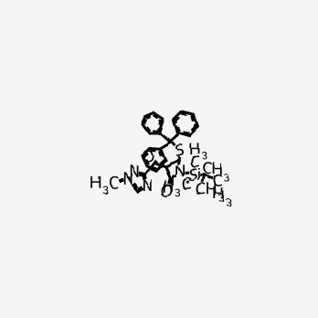 Cn1cnc(C(=O)C2C(=O)N([Si](C)(C)C(C)(C)C)C2SC(c2ccccc2)(c2ccccc2)c2ccccc2)n1